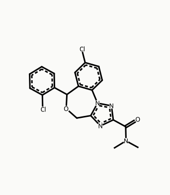 CN(C)C(=O)c1nc2n(n1)-c1ccc(Cl)cc1C(c1ccccc1Cl)OC2